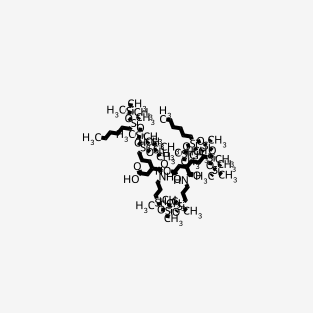 CCCCCC[Si](C)(O[Si](C)(C)C)O[Si](C)(C)O[Si](C)(CCCC(CC(=O)O)C(=O)NCCC[Si](C)(C)O[Si](C)(C)O[Si](C)(C)CCCNC(=O)C(CCC[Si](C)(O[Si](C)(C)C)O[Si](C)(C)O[Si](C)(CCCCCC)O[Si](C)(C)C)CC(=O)O)O[Si](C)(C)C